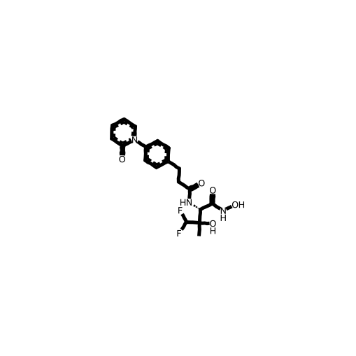 CC(O)(C(F)F)[C@H](NC(=O)CCc1ccc(-n2ccccc2=O)cc1)C(=O)NO